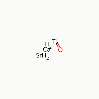 [CaH2].[O]=[Ti].[SrH2]